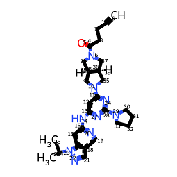 C#CCCC(=O)N1C[C@@H]2CN(c3cc(Nc4cc5c(cn4)cnn5C(C)C)nc(N4CCCC4)n3)C[C@@H]2C1